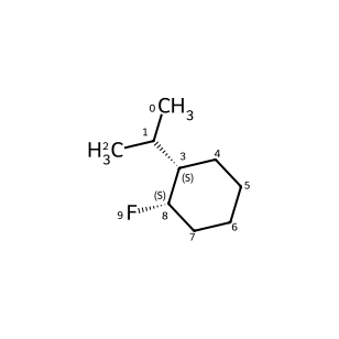 CC(C)[C@@H]1CCCC[C@@H]1F